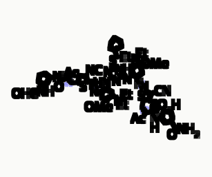 [C-]#[N+]c1cc(/C=C(\C(C)=O)C(=O)Nc2cccc(NC=O)c2)sc1/N=N/c1cc(OC)c(N(CC)CC)cc1Nc1nc(Nc2cc(N(CC)CC)c(OC)cc2/N=N/c2sc(/C=C(/C(C)=O)C(=O)Nc3cccc(C(N)=O)c3)c(S(=O)(=O)O)c2C#N)nc(SCc2ccccc2)n1